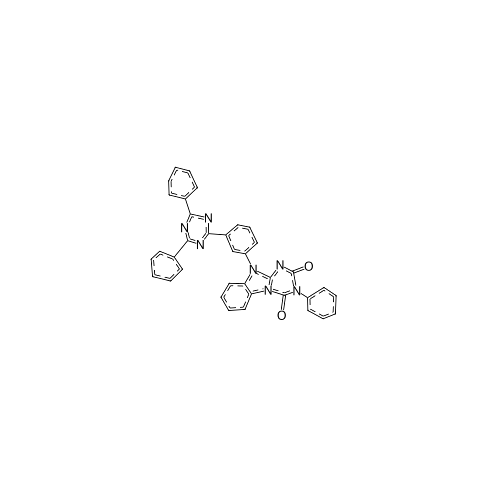 O=c1nc2n(-c3cccc(-c4nc(-c5ccccc5)nc(-c5ccccc5)n4)c3)c3ccccc3n2c(=O)n1-c1ccccc1